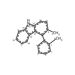 Cc1ccccc1-c1c(C)ccc2[nH]c3ccccc3c12